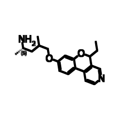 CCC1Oc2cc(OCC(C)C[C@H](C)N)ccc2-c2ccncc21